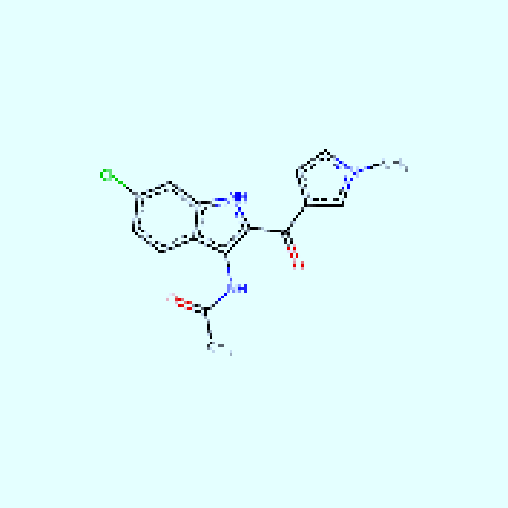 CC(=O)Nc1c(C(=O)c2ccn(C)c2)[nH]c2cc(Cl)ccc12